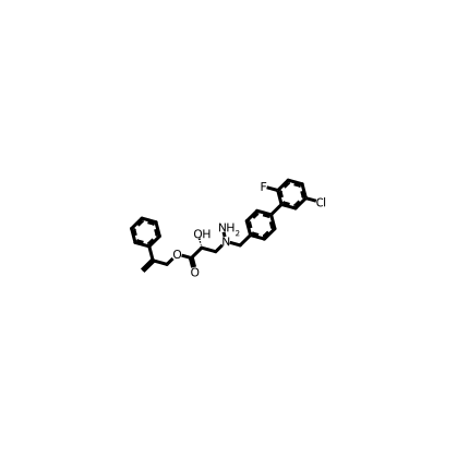 C=C(COC(=O)[C@H](O)CN(N)Cc1ccc(-c2cc(Cl)ccc2F)cc1)c1ccccc1